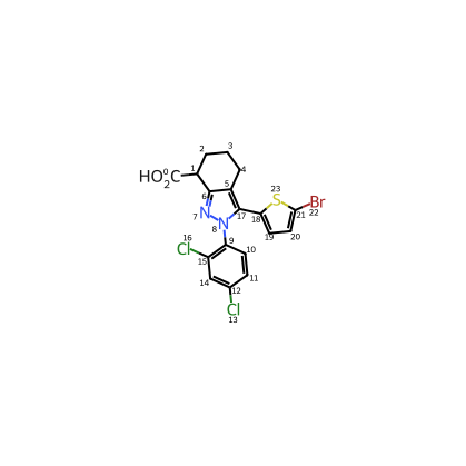 O=C(O)C1CCCc2c1nn(-c1ccc(Cl)cc1Cl)c2-c1ccc(Br)s1